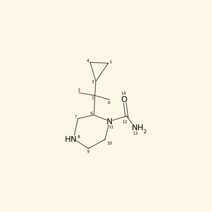 CC(C)(C1CC1)C1CNCCN1C(N)=O